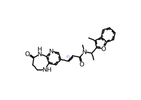 Cc1c(C(C)N(C)C(=O)/C=C/c2cnc3c(c2)NCCC(=O)N3)oc2ccccc12